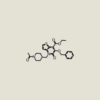 CCOC(=O)c1c(OCc2ccccc2)c(=O)n(CC2CCN(C(C)=O)CC2)c2ccsc12